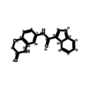 O=C1COc2ccc(NC(=O)c3cnc4ccccn34)cc2N1